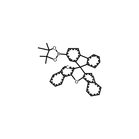 CC1(C)OB(c2ccc3c(c2)C2(c4ccccc4-3)c3ccc4ccccc4c3Oc3c2ccc2ccccc32)OC1(C)C